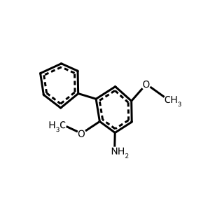 COc1cc(N)c(OC)c(-c2ccccc2)c1